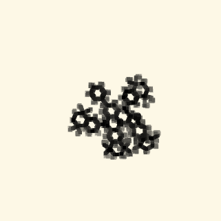 CC1(C)CCC(C)(C)c2cc(N3c4cc5c(cc4B4c6c3cc(-c3ccccc3)cc6N(c3ccc6c(c3)C(C)(C)CCC6(C)C)c3oc6cc7c(cc6c34)C3(C)CCC7(C)CC3)C(C)(C)CCC5(C)C)ccc21